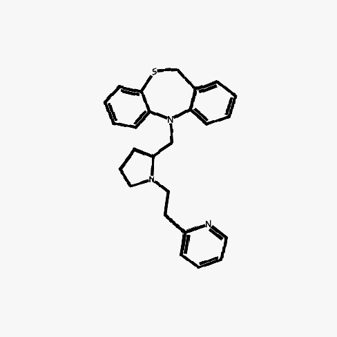 c1ccc(CCN2CCCC2CN2c3ccccc3CSc3ccccc32)nc1